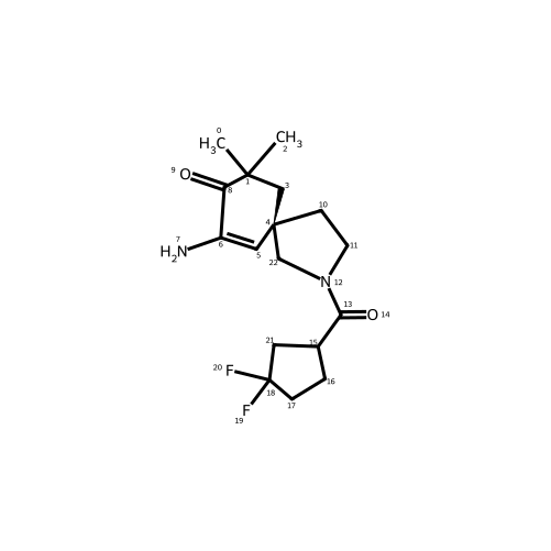 CC1(C)C[C@@]2(C=C(N)C1=O)CCN(C(=O)C1CCC(F)(F)C1)C2